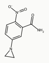 NC(=O)c1cc(N2CC2)ccc1[N+](=O)[O-]